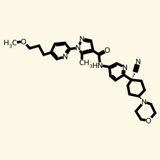 COCCCc1ccc(-n2ncc(C(=O)Nc3ccc([C@]4(C#N)CC[C@@H](N5CCOCC5)CC4)nc3)c2C)nc1